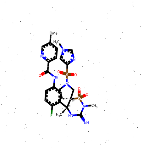 COc1ccc(C(=O)Nc2ccc(F)c([C@@]3(C)NC(=N)N(C)S(=O)(=O)[C@@]34CCN(S(=O)(=O)c3cn(C)cn3)C4)c2)nc1